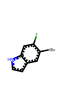 CC(C)(C)c1cc2cc[nH]c2cc1F